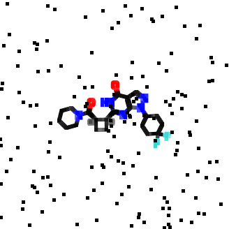 O=C([C@@H]1CC[C@@H]1c1nc2c(cnn2C2CCC(F)(F)CC2)c(=O)[nH]1)N1CCCCC1